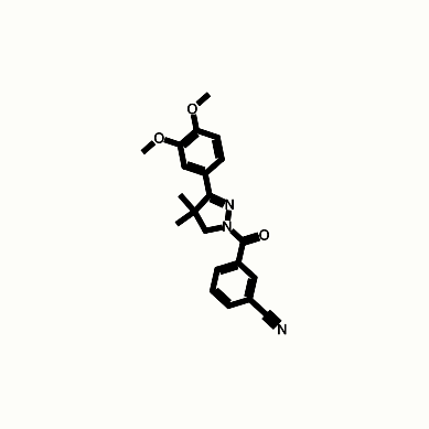 COc1ccc(C2=NN(C(=O)c3cccc(C#N)c3)CC2(C)C)cc1OC